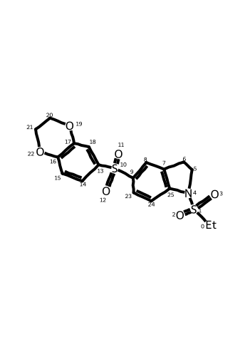 CCS(=O)(=O)N1CCc2cc(S(=O)(=O)c3ccc4c(c3)OCCO4)ccc21